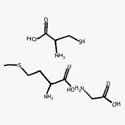 CSCCC(N)C(=O)O.NC(CS)C(=O)O.NCC(=O)O